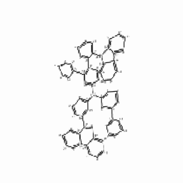 c1ccc(-c2cccc(N(c3cccc(-c4cc5ccccc5c5ccccc45)c3)c3ccc(-c4ccccc4-n4c5ccccc5c5ccccc54)c(-c4ccccc4)c3)c2)cc1